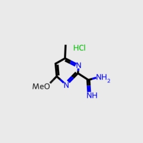 COc1cc(C)nc(C(=N)N)n1.Cl